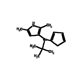 Cc1c[c]([Ru]([C]2=CC=CC2)[C](C)(C)C)c(C)[nH]1